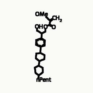 C=C(COC)C(=O)OCC(CO)c1ccc(C2CCC(C3CCC(CCCCC)CC3)CC2)cc1